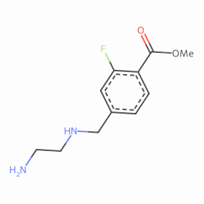 COC(=O)c1ccc(CNCCN)cc1F